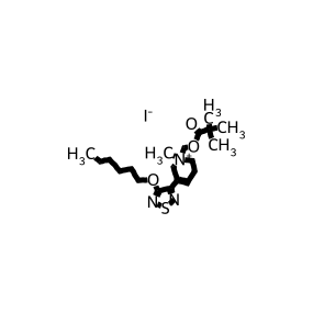 CCCCCCOc1nsnc1C1=CCC[N+](C)(COC(=O)C(C)(C)C)C1.[I-]